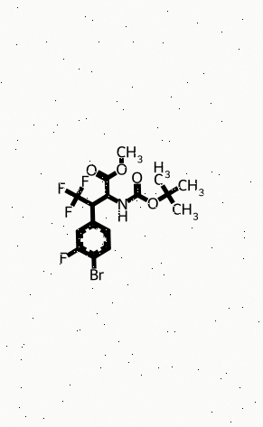 COC(=O)C(NC(=O)OC(C)(C)C)C(c1ccc(Br)c(F)c1)C(F)(F)F